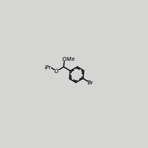 COC(OC(C)C)c1ccc(Br)cc1